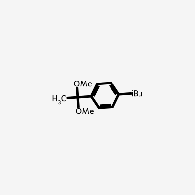 CCC(C)c1ccc(C(C)(OC)OC)cc1